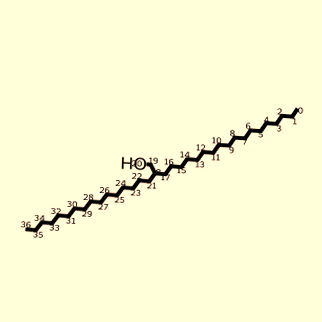 CCCCCCCCCCCCCCCCCCC(CO)CCCCCCCCCCCCCCCC